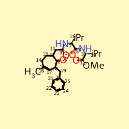 COC(=O)[C@@H](NC(=O)[C@@H](NC(=O)CC1CCC(C)=CC(Cc2ccccc2)C1=O)C(C)C)C(C)C